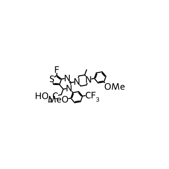 COc1cccc(N2CCN(C3=Nc4c(csc4F)C(CC(=O)O)N3c3cc(C(F)(F)F)ccc3OC)CC2C)c1